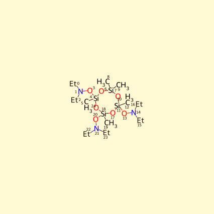 CCN(CC)O[Si]1(C)O[Si](C)(C)O[Si](C)(ON(CC)CC)O[Si](C)(ON(CC)CC)O1